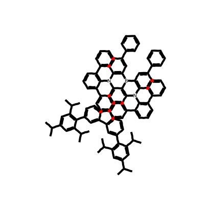 CC(C)c1cc(C(C)C)c(-c2ccc3c(c2)c2cc(-c4c(C(C)C)cc(C(C)C)cc4C(C)C)ccc2n3-c2cc3c4c(c2)N(c2c(-c5ccccc5)cccc2-c2ccccc2)c2ccc(-c5ccccc5)cc2B4c2cc(-c4ccccc4)ccc2N3c2c(-c3ccccc3)cccc2-c2ccccc2)c(C(C)C)c1